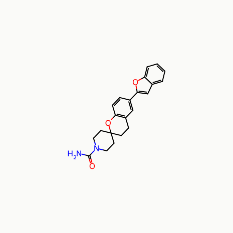 NC(=O)N1CCC2(CCc3cc(-c4cc5ccccc5o4)ccc3O2)CC1